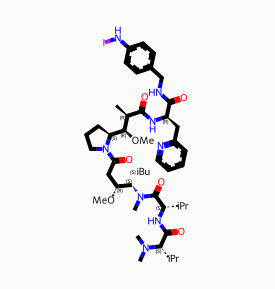 CC[C@H](C)[C@@H]([C@@H](CC(=O)N1CCC[C@H]1[C@H](OC)[C@@H](C)C(=O)N[C@H](Cc1ccccn1)C(=O)NCc1ccc(NI)cc1)OC)N(C)C(=O)[C@@H](NC(=O)[C@H](C(C)C)N(C)C)C(C)C